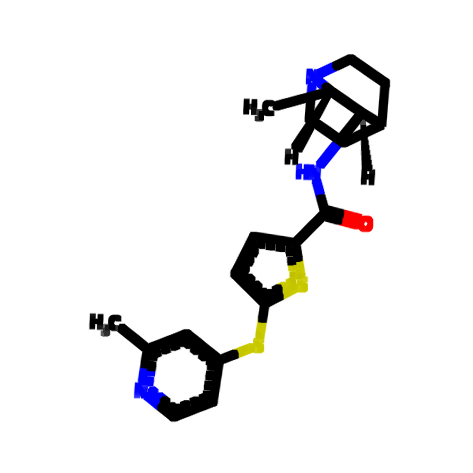 Cc1cc(Sc2ccc(C(=O)N[C@@H]3C4CCN(CC4)[C@H]3C)s2)ccn1